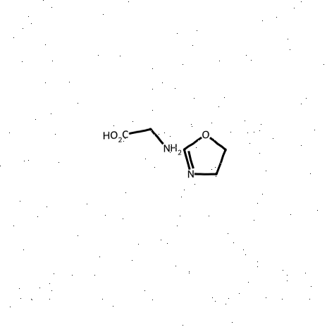 C1=NCCO1.NCC(=O)O